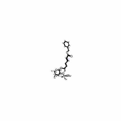 C[C@H](CC/C=C/C(=O)OCC1CCCCC1)O[C@@H]1O[C@@H](C)[C@H](C)C[C@H]1O[Si](C)(C)C(C)(C)C